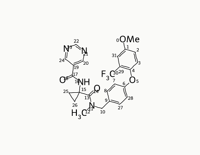 COc1ccc(Oc2ccc(CN(C)C(=O)C3(NC(=O)c4cncnc4)CC3)cc2)c(C(F)(F)F)c1